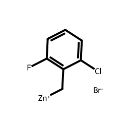 Fc1cccc(Cl)c1[CH2][Zn+].[Br-]